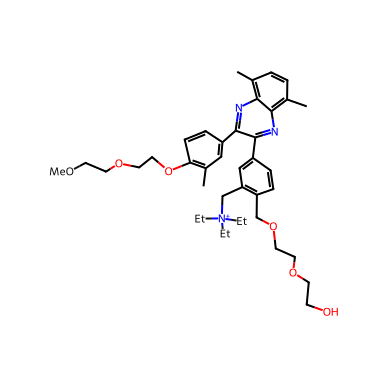 CC[N+](CC)(CC)Cc1cc(-c2nc3c(C)ccc(C)c3nc2-c2ccc(OCCOCCOC)c(C)c2)ccc1COCCOCCO